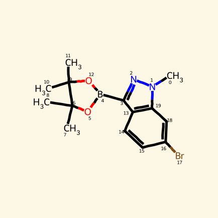 Cn1nc(B2OC(C)(C)C(C)(C)O2)c2ccc(Br)cc21